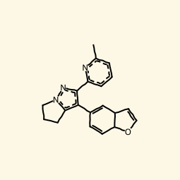 Cc1cccc(-c2nn3c(c2C2=CC4C=COC4C=C2)CCC3)n1